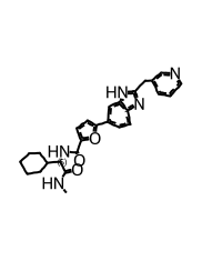 CNC(=O)[C@@H](NC(=O)c1ccc(-c2ccc3nc(Cc4cccnc4)[nH]c3c2)o1)C1CCCCC1